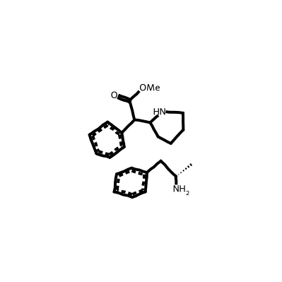 COC(=O)C(c1ccccc1)C1CCCCN1.C[C@H](N)Cc1ccccc1